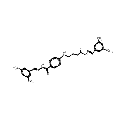 Cc1cc(C)cc(/C=N/NC(=O)CCCNc2ccc(C(=O)N/N=C/c3cc(C)cc(C)c3)cc2)c1